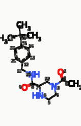 CC(=O)N1CCN[C@@H](C(=O)NCc2ccc(C(C)(C)C)cc2)C1